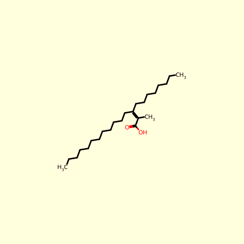 CCCCCCCCCCCCC(CCCCCCCC)=C(C)C(=O)O